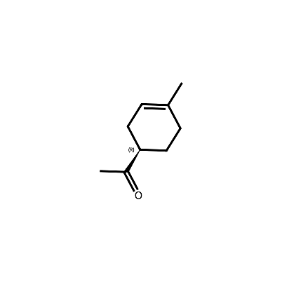 CC(=O)[C@H]1CC=C(C)CC1